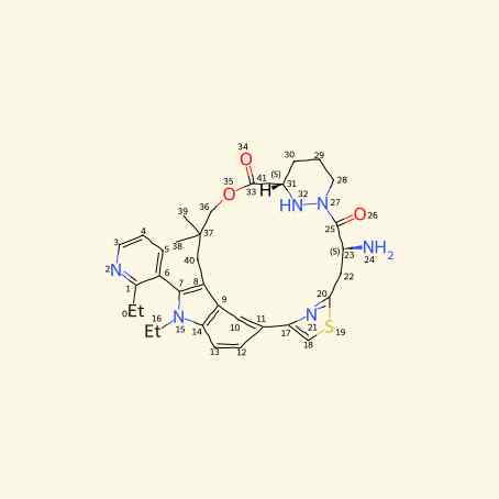 CCc1ncccc1-c1c2c3cc(ccc3n1CC)-c1csc(n1)C[C@H](N)C(=O)N1CCC[C@H](N1)C(=O)OCC(C)(C)C2